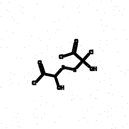 O=C(Cl)C(O)SSC(O)(Cl)C(=O)Cl